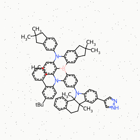 Cc1cc2c3c(c1)N(c1ccc(C(C)(C)C)cc1-c1ccccc1)c1cc(N4c5ccc(-c6cn[nH]c6)cc5C5(C)CCc6ccccc6C45C)ccc1B3c1cc3c(cc1N2c1ccc2c(c1)CC(C)(C)C2)CC(C)(C)C3